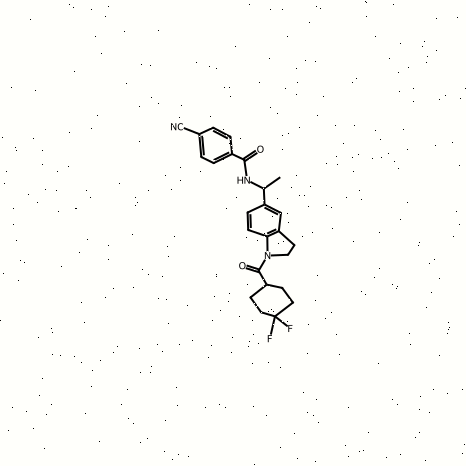 CC(NC(=O)c1ccc(C#N)cc1)c1ccc2c(c1)CCN2C(=O)C1CCC(F)(F)CC1